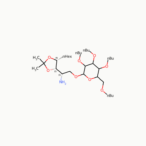 CCCCCC[C@H]1OC(C)(C)O[C@H]1[C@@H](N)COC1OC(COCCCC)C(OCCCC)C(OCCCC)C1OCCCC